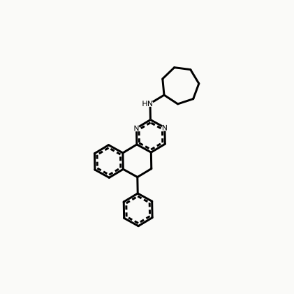 c1ccc(C2Cc3cnc(NC4CCCCCC4)nc3-c3ccccc32)cc1